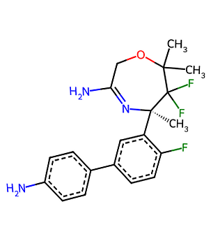 CC1(C)OCC(N)=N[C@](C)(c2cc(-c3ccc(N)cc3)ccc2F)C1(F)F